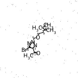 CC(=O)c1nn(COCC[Si](C)(C)C)nc1Br